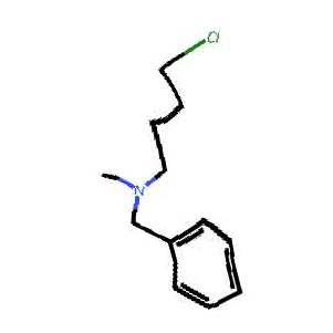 CN(CCCCCl)Cc1ccccc1